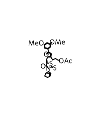 COc1cc(OC)cc(-c2cc(CCCOC(C)=O)c(/C=C3\SC(=S)N(C4CC5CCC4C5)C3=O)o2)c1